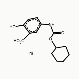 O=C(Nc1ccc(O)c(C(=O)O)c1)OC1CCCCC1.[Ni]